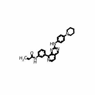 C=CC(=O)Nc1cccc(-c2nccc3cnc(Nc4ccc(N5CCCCC5)cc4)nc23)c1